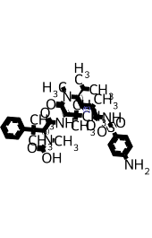 C/C(=C\[C@H](C(C)C)N(C)C(=O)[C@@H](NC(=O)[C@@H](N(C)C(=O)O)C(C)(C)c1ccccc1)C(C)(C)C)C(=O)NS(=O)(=O)c1ccc(N)cc1